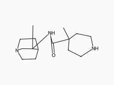 CC1(C(=O)NC2(C)CN3CCC2CC3)CCNCC1